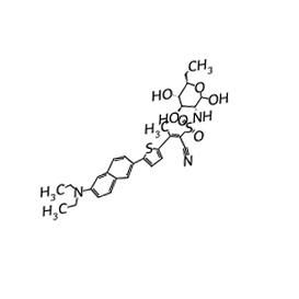 CC[C@H]1OC(O)[C@H](NS(=O)(=O)/C(C#N)=C(\C)c2ccc(-c3ccc4cc(N(CC)CC)ccc4c3)s2)[C@@H](O)[C@@H]1O